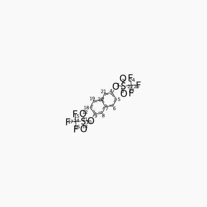 O=S(=O)(Oc1ccc2cc(OS(=O)(=O)C(F)(F)F)ccc2c1)C(F)(F)F